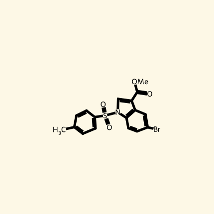 COC(=O)c1cn(S(=O)(=O)c2ccc(C)cc2)c2ccc(Br)cc12